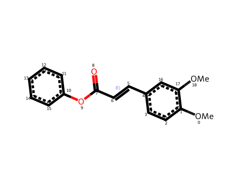 COc1ccc(/C=C/C(=O)Oc2ccccc2)cc1OC